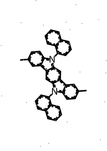 Cc1ccc2c(c1)c1cc3c(cc1n2-c1cccc2ccccc12)c1cc(C)ccc1n3-c1cccc2ccccc12